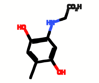 Cc1cc(O)c(NCC(=O)O)cc1O